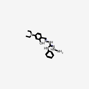 CCN(CC)c1ccc(/C=N/N/C(=N/NN)Nc2ccccc2)c(O)c1